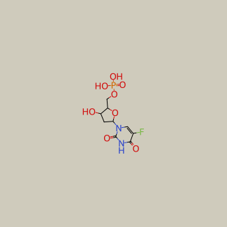 O=c1[nH]c(=O)n(C2CC(O)C(COP(=O)(O)O)O2)cc1F